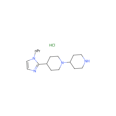 CCCn1ccnc1C1CCN(C2CCNCC2)CC1.Cl